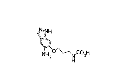 Nc1cc2cn[nH]c2cc1OCCCNC(=O)O